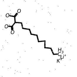 CCCCCCCCCCCC(C(=O)[O-])C(=O)[O-].[K+].[Li+]